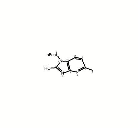 CCCCCn1c(O)nc2nc(C)ccc21